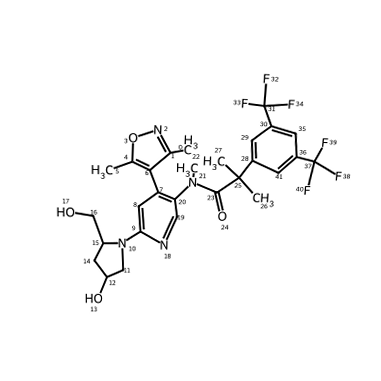 Cc1noc(C)c1-c1cc(N2CC(O)CC2CO)ncc1N(C)C(=O)C(C)(C)c1cc(C(F)(F)F)cc(C(F)(F)F)c1